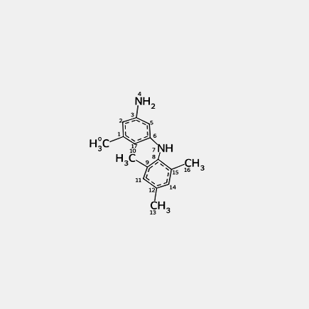 Cc1cc(N)cc(Nc2c(C)cc(C)cc2C)c1